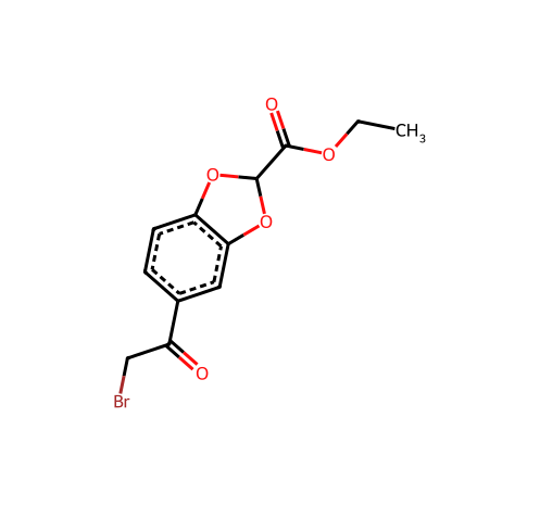 CCOC(=O)C1Oc2ccc(C(=O)CBr)cc2O1